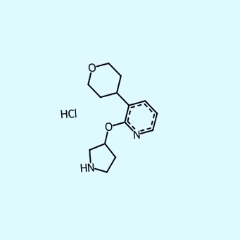 Cl.c1cnc(OC2CCNC2)c(C2CCOCC2)c1